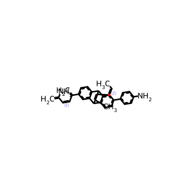 C=C(N)/C=C\C(=C)c1ccc2c(c1)C1C(C)=C(/C=C\C)C2c2cc(-c3ccc(N)cc3)ccc21